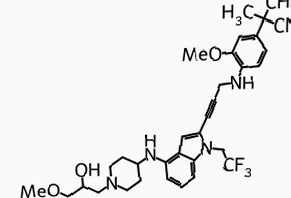 COCC(O)CN1CCC(Nc2cccc3c2cc(C#CCNc2ccc(C(C)(C)C#N)cc2OC)n3CC(F)(F)F)CC1